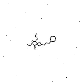 CCOC(=O)C1(C(=O)OCC)CC(CCCC2CCCCC2)C1